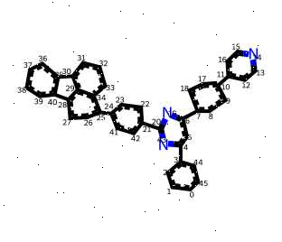 c1ccc(-c2cc(-c3ccc(-c4ccncc4)cc3)nc(-c3ccc(-c4ccc5c6c(cccc46)-c4ccccc4-5)cc3)n2)cc1